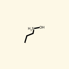 [CH2]CC[SiH2]O